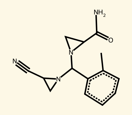 Cc1ccccc1C(N1CC1C#N)N1CC1C(N)=O